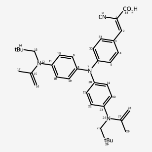 [C-]#[N+]/C(=C\c1ccc(N(c2ccc(N(CC(C)(C)C)C(=C)C)cc2)c2ccc(N(CC(C)(C)C)C(=C)C)cc2)cc1)C(=O)O